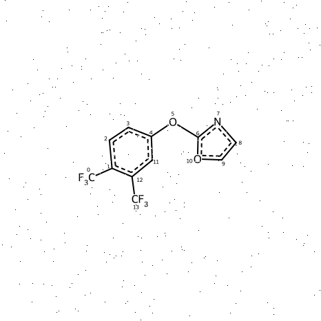 FC(F)(F)c1ccc(Oc2n[c]co2)cc1C(F)(F)F